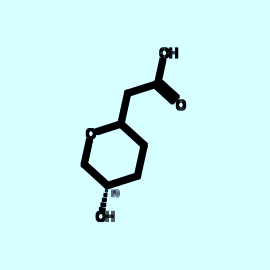 O=C(O)CC1CC[C@H](O)CO1